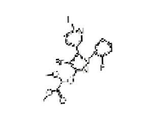 COC(=O)C(OC)Oc1nn(-c2ccccc2F)c(-c2ccc(F)nc2)c1Br